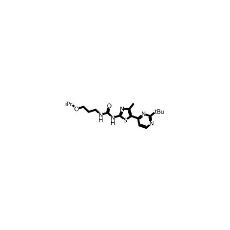 Cc1nc(NC(=O)NCCCOC(C)C)sc1-c1ccnc(C(C)(C)C)n1